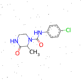 CC1C(=O)NCCN1C(=O)Nc1ccc(Cl)cc1